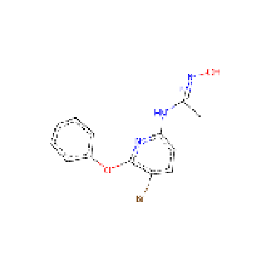 C/C(=N\O)Nc1ccc(Br)c(Oc2ccccc2)n1